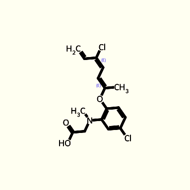 C=C/C(Cl)=C\C=C(/C)Oc1ccc(Cl)cc1N(C)CC(=O)O